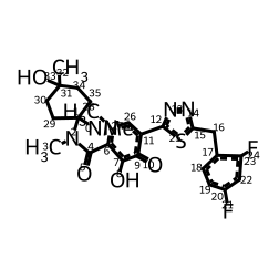 CNC1(N(C)C(=O)c2c(O)c(=O)c(-c3nnc(Cc4ccc(F)cc4F)s3)cn2C)CCC(C)(O)CC1